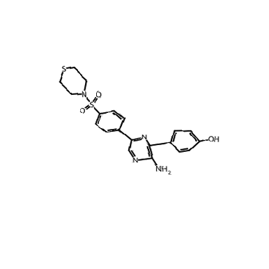 Nc1ncc(-c2ccc(S(=O)(=O)N3CCSCC3)cc2)nc1-c1ccc(O)cc1